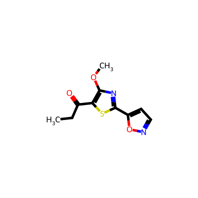 CCC(=O)c1sc(-c2ccno2)nc1OC